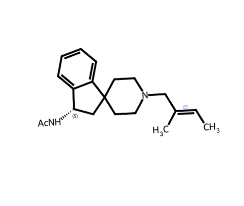 C/C=C(\C)CN1CCC2(CC1)C[C@H](NC(C)=O)c1ccccc12